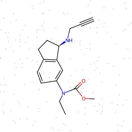 C#CCN[C@@H]1CCc2ccc(N(CC)C(=O)OC)cc21